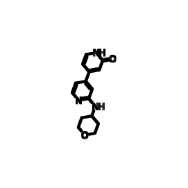 O=c1cc(-c2ccnc(NC3CCOCC3)c2)cc[nH]1